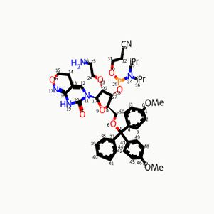 COc1ccc(C(OC[C@H]2O[C@@H](N3C=C4CCON=C4NC3=O)[C@H](OCCN)[C@@H]2OP(OCCC#N)N(C(C)C)C(C)C)(c2ccccc2)c2ccc(OC)cc2)cc1